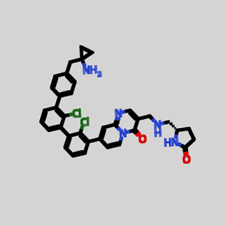 NC1(Cc2ccc(-c3cccc(-c4cccc(-c5ccn6c(=O)c(CNC[C@@H]7CCC(=O)N7)cnc6c5)c4Cl)c3Cl)cc2)CC1